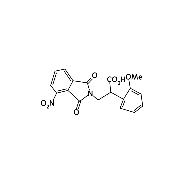 COc1ccccc1C(CN1C(=O)c2cccc([N+](=O)[O-])c2C1=O)C(=O)O